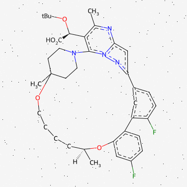 Cc1nc2cc3nn2c(c1[C@H](OC(C)(C)C)C(=O)O)N1CCC(C)(CC1)OCCCC[C@H](C)Oc1cc(F)ccc1-c1cc-3ccc1F